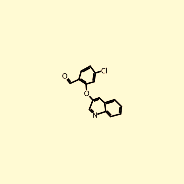 O=Cc1ccc(Cl)cc1Oc1cnc2ccccc2c1